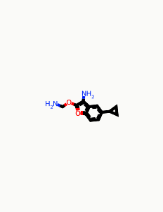 NCOc1oc2ccc(C3CC3)cc2c1N